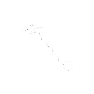 O=C(C=C/C=C/C=C/C1CCCCC1)N[C@]12O[C@@H]1C(=O)C=CC2=O